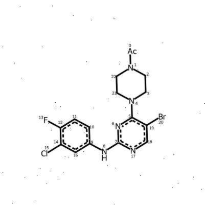 CC(=O)N1CCN(c2nc(Nc3ccc(F)c(Cl)c3)ncc2Br)CC1